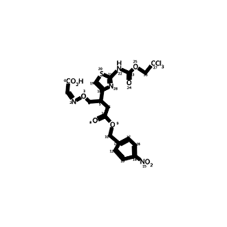 O=C(O)/C=N\OCC(CC(=O)OCc1ccc([N+](=O)[O-])cc1)c1csc(NC(=O)OCC(Cl)(Cl)Cl)n1